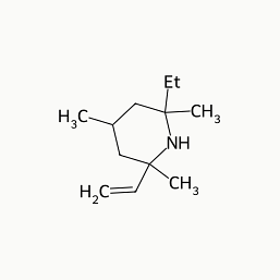 C=CC1(C)CC(C)CC(C)(CC)N1